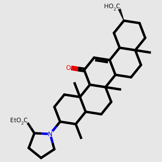 CCOC(=O)C1CCCN1C1CCC2(C)C(CCC3(C)C4CCC5(C)CC[C@H](C(=O)O)CC5C4=CC(=O)C32)C1C